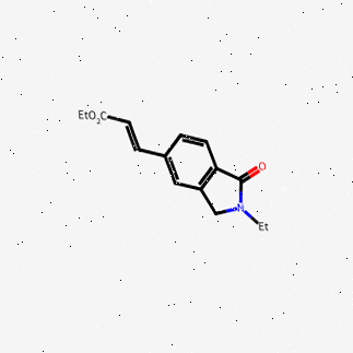 CCOC(=O)/C=C/c1ccc2c(c1)CN(CC)C2=O